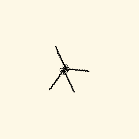 CCCCCCCCCCCCCCCCCCOC(=O)C(SC(C(=O)OCCCCCCCCCCCCCCCCCC)C(=O)OCCCCCCCCCCCCCCCCCC)C(=O)OCCCCCCCCCCCCCCCCCC